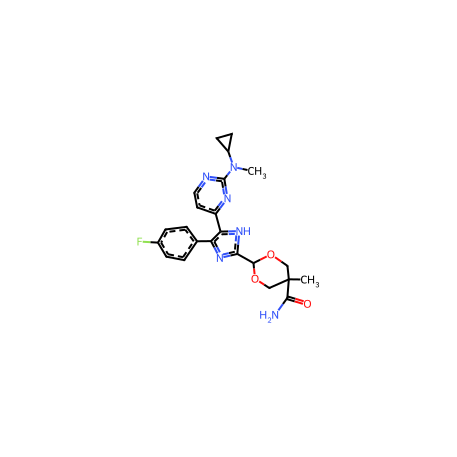 CN(c1nccc(-c2[nH]c(C3OCC(C)(C(N)=O)CO3)nc2-c2ccc(F)cc2)n1)C1CC1